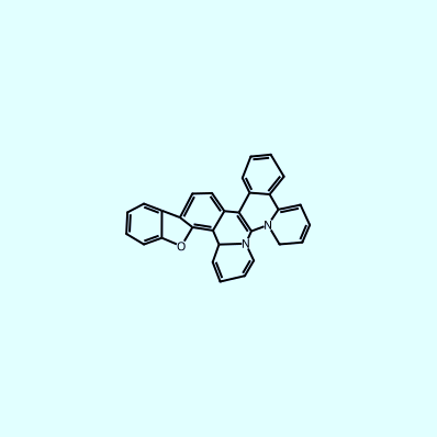 C1=CCN2C(=C1)c1ccccc1C1=C2N2C=CC=CC2c2c1ccc1c2oc2ccccc21